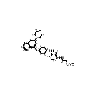 COCCNc1ncnc(N[C@H]2CC[C@@H](Oc3cc(N4CCOCC4)cc4nccnc34)CC2)c1F